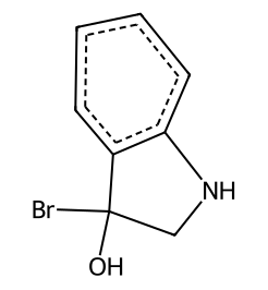 OC1(Br)CNc2ccccc21